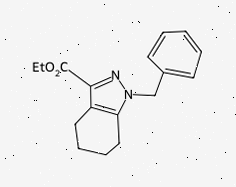 CCOC(=O)c1nn(Cc2ccccc2)c2c1CCCC2